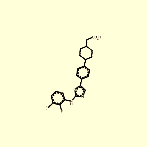 O=C(O)CC1CCC(c2ccc(-c3cnc(Nc4cccc(Cl)c4F)o3)cc2)CC1